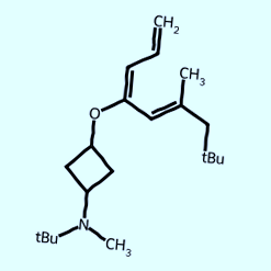 C=C/C=C(\C=C(/C)CC(C)(C)C)OC1CC(N(C)C(C)(C)C)C1